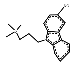 C[Si](C)(C)CCCn1c2ccccc2c2cc(N=O)ccc21